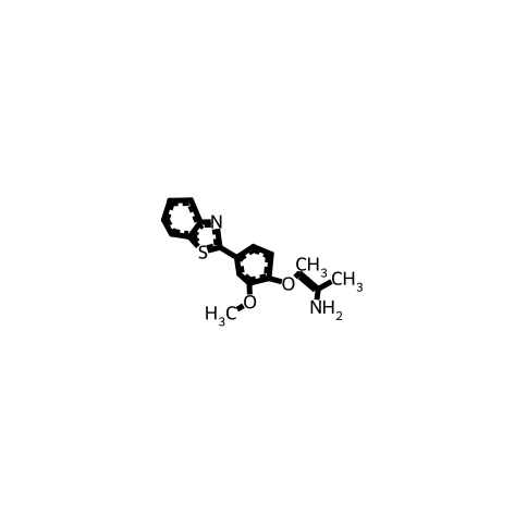 COc1cc(-c2nc3ccccc3s2)ccc1O/C(C)=C(/C)N